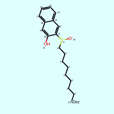 CCCCCCCCCCCCCCCCCC[S+]([O-])c1cc2ccccc2cc1O